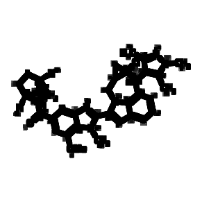 COc1cc(C(=O)N2C[C@H]3CC[C@@H]2[C@@H]3N)cc2nc(-c3cc4cccc(Nc5c(C)nn(C)c5C)c4n3CC3CC3(Cl)Cl)n(C)c12